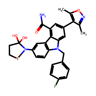 Cc1noc(C)c1-c1cc(C(N)=O)c2c3cc(N4SCCC4(O)O)ccc3n(Cc3ccc(F)cc3)c2c1